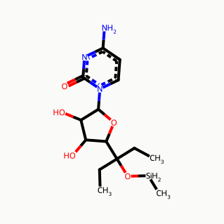 CCC(CC)(O[SiH2]C)C1OC(n2ccc(N)nc2=O)C(O)C1O